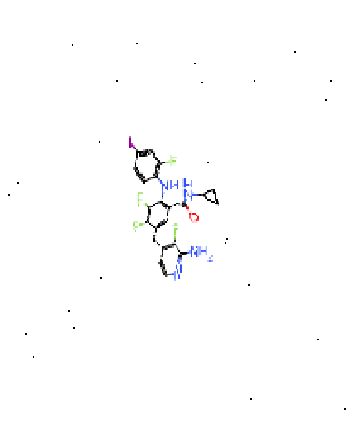 Nc1nccc(Cc2cc(C(=O)NC3CC3)c(Nc3ccc(I)cc3F)c(F)c2F)c1F